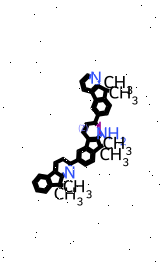 CC1(C)C2=NC(c3ccc4c(c3)C(/C=C\C(I)c3ccc5c(c3)-c3cccnc3C5(C)C)=C(N)C4(C)C)CC=C2c2ccccc21